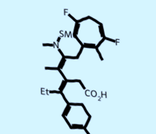 CC/C(C1=CC=C(C)CC1)=C(CC(=O)O)\C(C)=C(/CC1=C(C)C(F)=CCC(F)=C1)N(C)SC